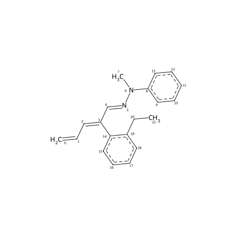 C=C/C=C(/C=NN(C)c1ccccc1)c1ccccc1CC